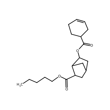 CCCCCOC(=O)C1CC2CC(OC(=O)C3CC=CCC3)C1C2